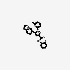 Cc1cccc(-n2nc(C(=O)Nc3ccccc3F)cc2-c2ccc3ncnn3c2)n1